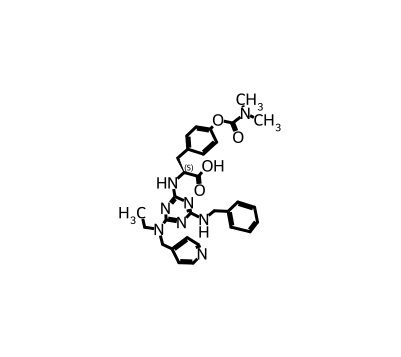 CCN(Cc1ccncc1)c1nc(NCc2ccccc2)nc(N[C@@H](Cc2ccc(OC(=O)N(C)C)cc2)C(=O)O)n1